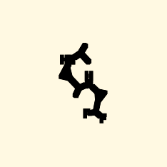 CC(C)NC1CC1C(C)NC1CC1C(F)F